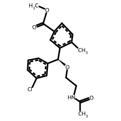 COC(=O)c1ccc(C)c([C@@H](OCCNC(C)=O)c2cccc(Cl)c2)c1